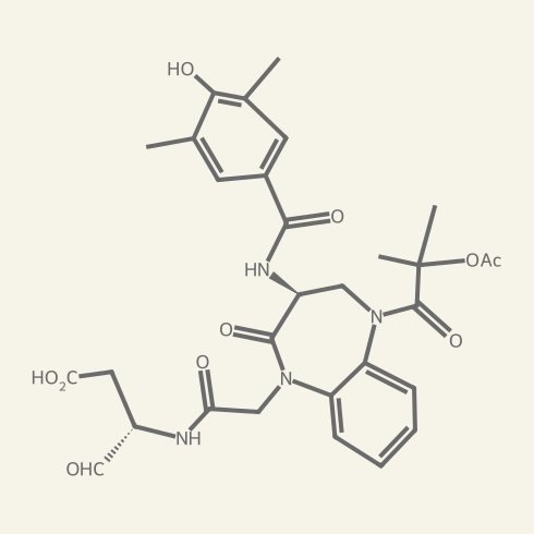 CC(=O)OC(C)(C)C(=O)N1C[C@H](NC(=O)c2cc(C)c(O)c(C)c2)C(=O)N(CC(=O)N[C@H](C=O)CC(=O)O)c2ccccc21